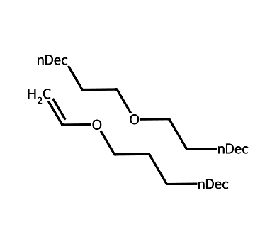 C=COCCCCCCCCCCCCC.CCCCCCCCCCCCOCCCCCCCCCCCC